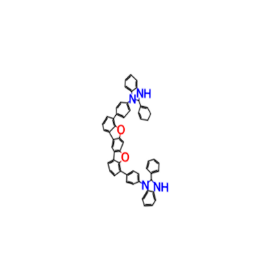 C1=CC(C2Nc3ccccc3N2c2ccc(-c3cccc4c3oc3cc5oc6c(-c7ccc(N8c9ccccc9NC8c8ccccc8)cc7)cccc6c5cc34)cc2)=CCC1